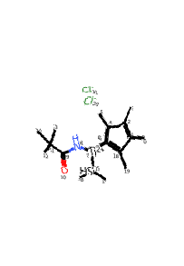 CC1=C(C)C(C)[C]([Ti+2]([NH]C(=O)C(C)(C)C)[SiH](C)C)=C1C.[Cl-].[Cl-]